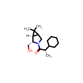 C[C@H](C(=O)N1CC2[C@@H]([C@H]1CO)C2(C)C)C1CCCCC1